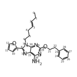 CC/C=C/CCCn1c(-c2ccco2)nc2c(N)nc(OCCc3ccccc3)nc21